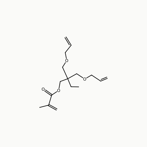 C=CCOCC(CC)(COCC=C)COC(=O)C(=C)C